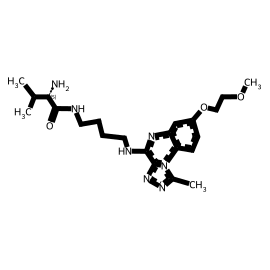 COCCOc1ccc2c(c1)nc(NCCCCNC(=O)[C@@H](N)C(C)C)c1nnc(C)n12